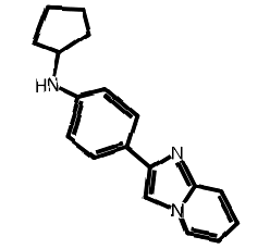 c1ccn2cc(-c3ccc(NC4CCCC4)cc3)nc2c1